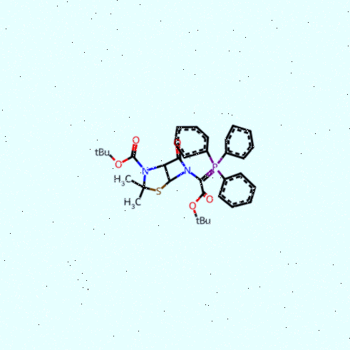 CC(C)(C)OC(=O)C(N1C(=O)C2C1SC(C)(C)N2C(=O)OC(C)(C)C)=P(c1ccccc1)(c1ccccc1)c1ccccc1